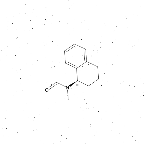 CN(C=O)[C@@H]1CCCc2ccccc21